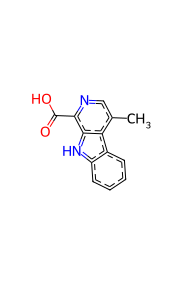 Cc1cnc(C(=O)O)c2[nH]c3ccccc3c12